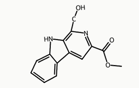 COC(=O)c1cc2c([nH]c3ccccc32)c(CO)n1